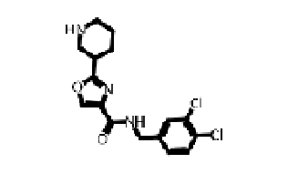 O=C(NCc1ccc(Cl)c(Cl)c1)c1coc(C2CCCNC2)n1